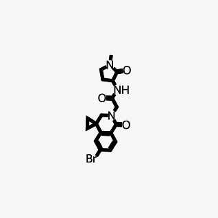 CN1CCC(NC(=O)CN2CC3(CC3)c3cc(Br)ccc3C2=O)C1=O